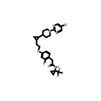 O=C(Cc1ccc(OCCC2CC2C2CCN(c3ncc(Cl)cn3)CC2)cc1F)NC1(C(F)(F)F)CC1